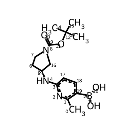 Cc1nc(N[C@H]2CCN(C(=O)OC(C)(C)C)C2)ccc1B(O)O